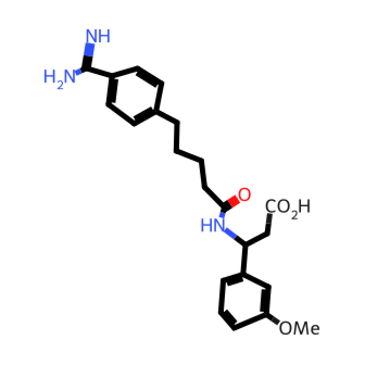 COc1cccc(C(CC(=O)O)NC(=O)CCCCc2ccc(C(=N)N)cc2)c1